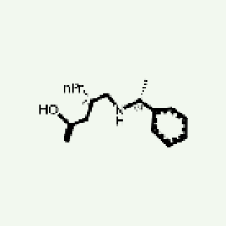 C=C(O)C[C@H](CCC)CN[C@H](C)c1ccccc1